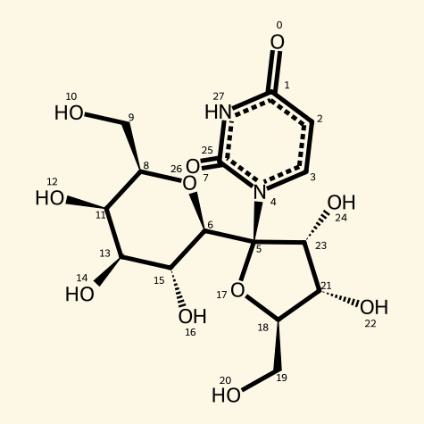 O=c1ccn([C@]2([C@@H]3O[C@H](CO)[C@H](O)[C@H](O)[C@H]3O)O[C@H](CO)[C@@H](O)[C@H]2O)c(=O)[nH]1